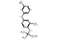 CCOC(=O)C(C)(C)Oc1ccc(Oc2cccc(C#N)c2)cc1C